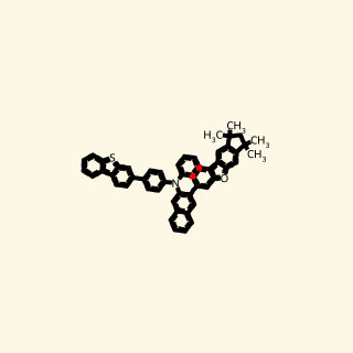 CC1(C)CC(C)(C)c2cc3c(cc21)oc1cc(-c2cc4ccccc4cc2N(c2ccccc2)c2ccc(-c4ccc5c(c4)sc4ccccc45)cc2)ccc13